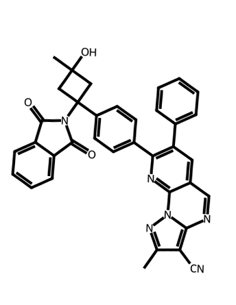 Cc1nn2c(ncc3cc(-c4ccccc4)c(-c4ccc(C5(N6C(=O)c7ccccc7C6=O)CC(C)(O)C5)cc4)nc32)c1C#N